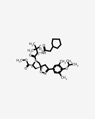 COC(=O)[C@@H]1C[C@]2(CC(c3cc(C)c(OC(C)C)c(C)c3)=NO2)CN1C(=O)[C@@H](NC(=O)CC1CCCCC1)C(C)(C)C